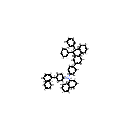 c1ccc(-c2c(-c3ccccc3)c3cc(-c4ccc(N(c5ccc(-c6cccc7ccccc67)cc5)c5cccc6ccccc56)cc4)ccc3c3ccccc23)cc1